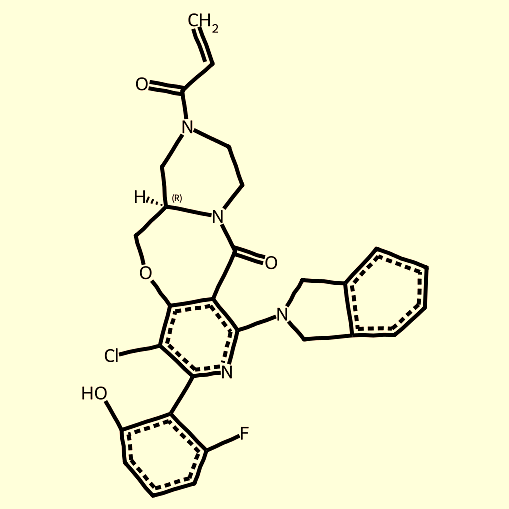 C=CC(=O)N1CCN2C(=O)c3c(N4Cc5ccccc5C4)nc(-c4c(O)cccc4F)c(Cl)c3OC[C@H]2C1